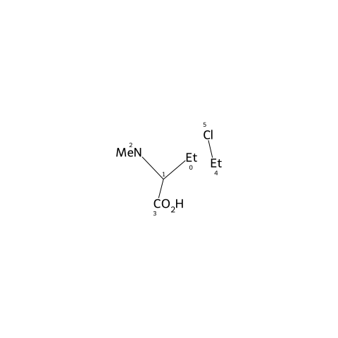 CCC(NC)C(=O)O.CCCl